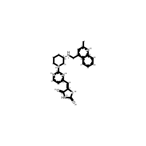 Cc1cc(CN[C@H]2CCCN(c3nccc(C=C4SC(=O)NC4=O)n3)C2)c2ccccc2n1